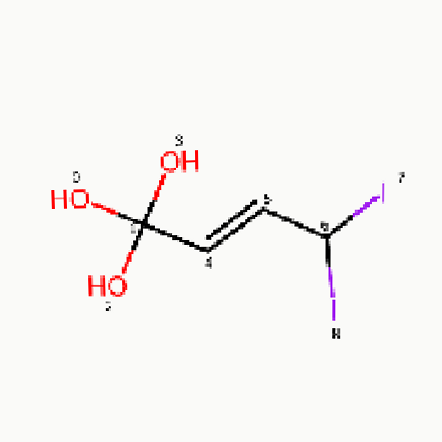 OC(O)(O)C=CC(I)I